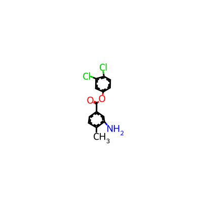 Cc1ccc(C(=O)Oc2ccc(Cl)c(Cl)c2)cc1N